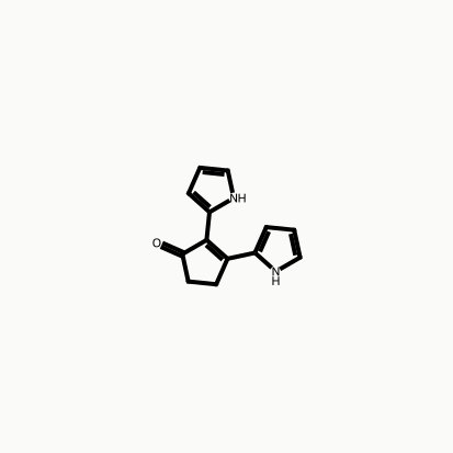 O=C1CCC(c2ccc[nH]2)=C1c1ccc[nH]1